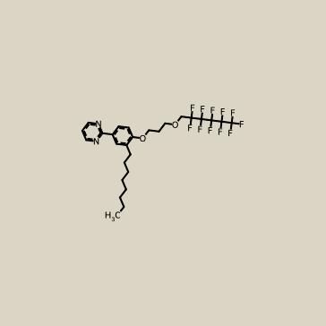 CCCCCCCCc1cc(-c2ncccn2)ccc1OCCCOCC(F)(F)C(F)(F)C(F)(F)C(F)(F)C(F)(F)F